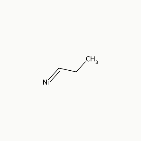 CC[CH]=[Ni]